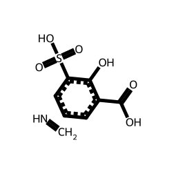 C=N.O=C(O)c1cccc(S(=O)(=O)O)c1O